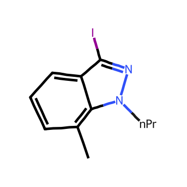 CCCn1nc(I)c2cccc(C)c21